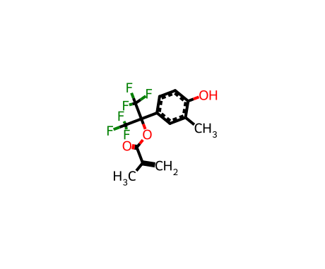 C=C(C)C(=O)OC(c1ccc(O)c(C)c1)(C(F)(F)F)C(F)(F)F